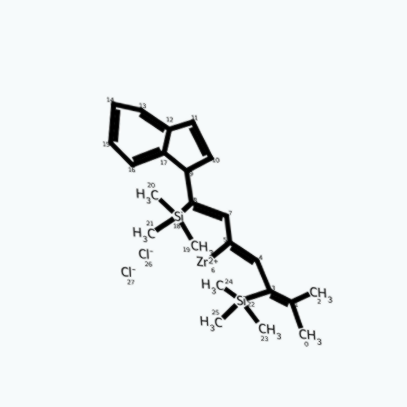 CC(C)=C(C=[C]([Zr+2])C=C(C1C=Cc2ccccc21)[Si](C)(C)C)[Si](C)(C)C.[Cl-].[Cl-]